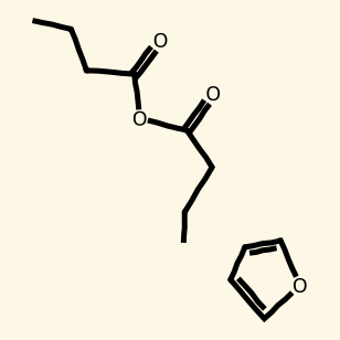 CCCC(=O)OC(=O)CCC.c1ccoc1